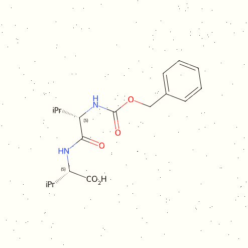 CC(C)[C@H](NC(=O)[C@@H](NC(=O)OCc1ccccc1)C(C)C)C(=O)O